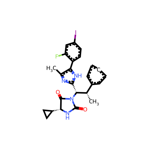 Cc1nc([C@H]([C@@H](C)c2ccccc2)N2C(=O)N[C@H](C3CC3)C2=O)[nH]c1-c1ccc(I)cc1F